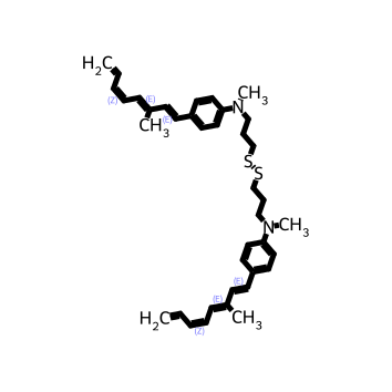 C=C\C=C/C=C(C)/C=C/c1ccc(N(C)CCCSSCCCN(C)c2ccc(/C=C/C(C)=C/C=C\C=C)cc2)cc1